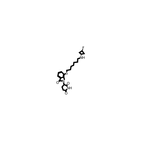 O=C1CCC(N2Cc3c(SCCCCCCCN[C@H]4C[C@H](F)C4)cccc3C2=O)C(=O)N1